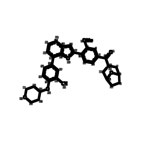 COc1cc(C(=O)N2CC3CCC(C2)O3)ccc1-c1cc2nccc(-c3ccc(OC4CCOCC4)c(C#N)c3)c2o1